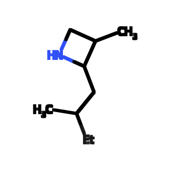 CCC(C)CC1NCC1C